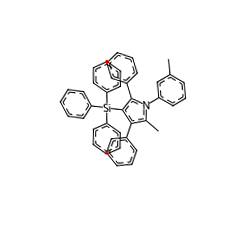 Cc1cccc(-n2c(C)c(-c3ccccc3)c([Si](c3ccccc3)(c3ccccc3)c3ccccc3)c2-c2ccccc2)c1